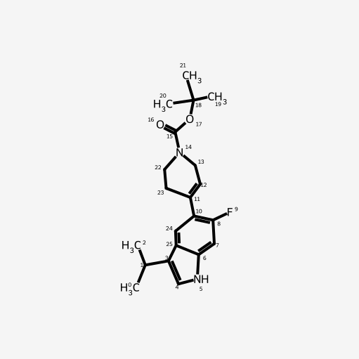 CC(C)c1c[nH]c2cc(F)c(C3=CCN(C(=O)OC(C)(C)C)CC3)cc12